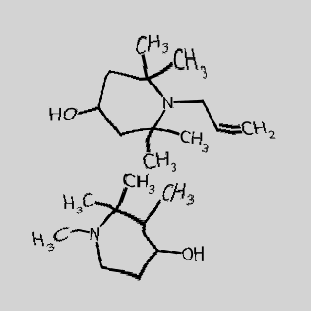 C=CCN1C(C)(C)CC(O)CC1(C)C.CC1C(O)CCN(C)C1(C)C